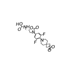 O=C(O)NC[C@H]1CN(c2cc(F)c(N3CCC4(CC3)CS(=O)(=O)C4)c(F)c2)C(=O)O1